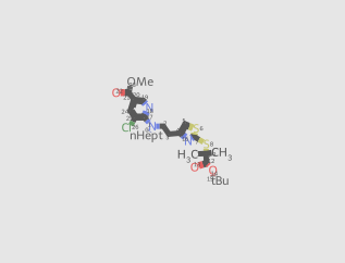 CCCCCCCN(CCc1csc(SC(C)(C)C(=O)OC(C)(C)C)n1)c1ncc(C(=O)OC)cc1Cl